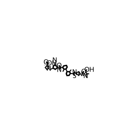 Cc1c(-c2nc3cc(CN4CC[C@@](C)(C(=O)O)C4)cc(C#N)c3o2)cccc1-c1cccc(-c2nc3c(s2)CN(C(=O)CN(C)C(C)CO)C3)c1C